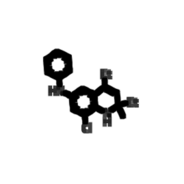 CCC1=CC(C)(CC)Nc2c(Cl)cc(Nc3ccccc3)cc21